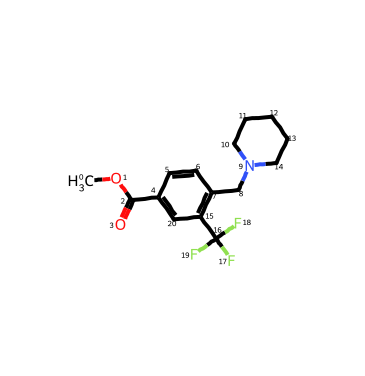 COC(=O)c1ccc(CN2CCCCC2)c(C(F)(F)F)c1